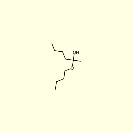 CCCCOC(C)(O)CCCC